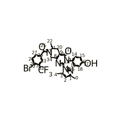 Cc1cc(C)n(-c2nc3c(c(=O)n2-c2ccc(O)cc2)CC(C)N(C(=O)c2ccc(Br)c(C(F)(F)F)c2)C3)n1